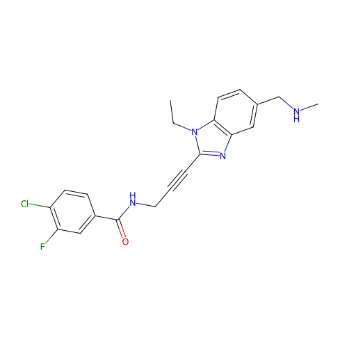 CCn1c(C#CCNC(=O)c2ccc(Cl)c(F)c2)nc2cc(CNC)ccc21